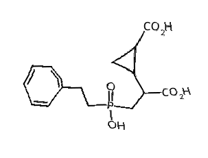 O=C(O)C1CC1C(CP(=O)(O)CCc1ccccc1)C(=O)O